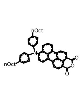 CCCCCCCCc1ccc(N(c2ccc(CCCCCCCC)cc2)c2ccc3c4ccc5c6c(ccc(c7cccc2c73)c64)C(=O)OC5=O)cc1